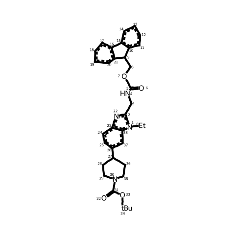 CCn1c(CNC(=O)OCC2c3ccccc3-c3ccccc32)nc2ccc(C3CCN(C(=O)OC(C)(C)C)CC3)cc21